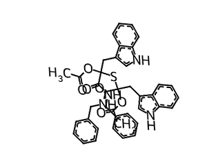 CC(=O)OC(Cc1c[nH]c2ccccc12)(SC(Cc1c[nH]c2ccccc12)(OC(C)=O)C(=O)NCc1ccccc1)C(=O)NCc1ccccc1